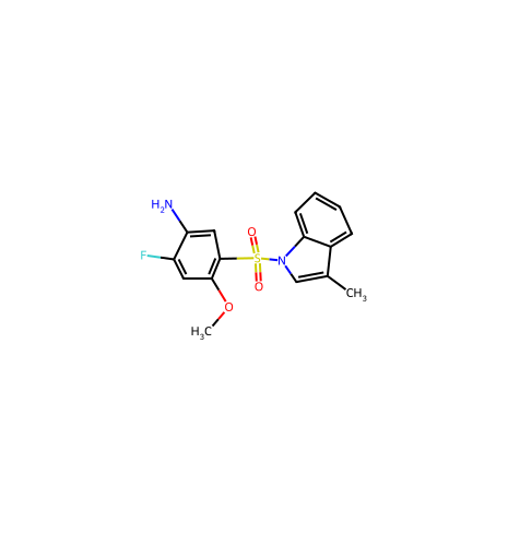 COc1cc(F)c(N)cc1S(=O)(=O)n1cc(C)c2ccccc21